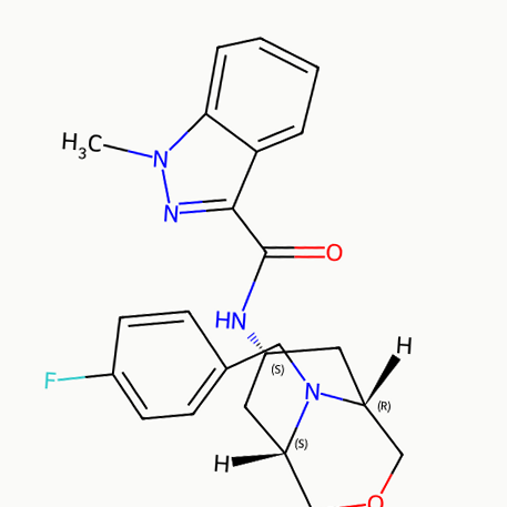 Cn1nc(C(=O)N[C@H]2C[C@H]3COC[C@@H](C2)N3Cc2ccc(F)cc2)c2ccccc21